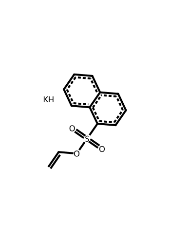 C=COS(=O)(=O)c1cccc2ccccc12.[KH]